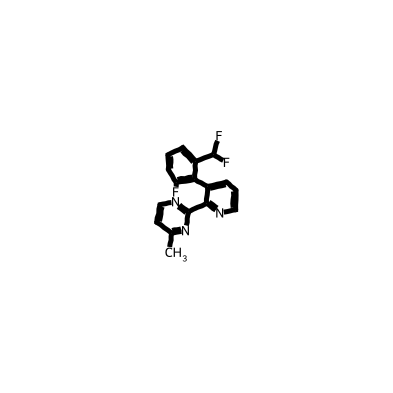 Cc1ccnc(-c2ncccc2-c2c(F)cccc2C(F)F)n1